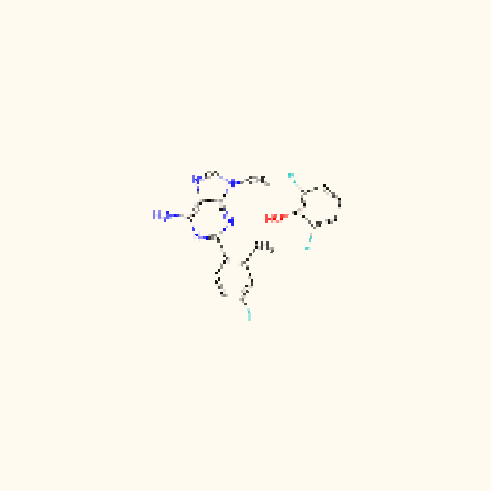 Cc1cc(F)ccc1-c1nc(N)c2ncn(C)c2n1.Oc1c(F)cccc1F